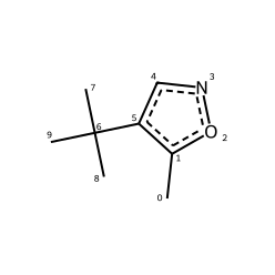 Cc1oncc1C(C)(C)C